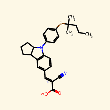 CCCC(C)(C)Sc1ccc(N2c3ccc(/C=C(\C#N)C(=O)O)cc3C3CCCC32)cc1